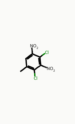 Cc1cc([N+](=O)[O-])c(Cl)c([N+](=O)[O-])c1Cl